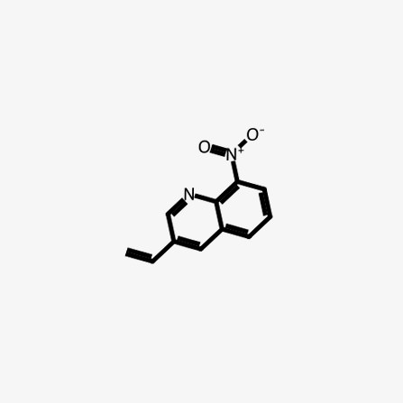 C=Cc1cnc2c([N+](=O)[O-])cccc2c1